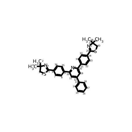 CC1(C)CSC(c2ccc(-c3cc(-c4ccccc4)cc(-c4ccc(C5=NC(C)(C)CS5)cc4)n3)cc2)=N1